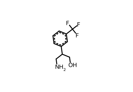 NCC(CO)c1cccc(C(F)(F)F)c1